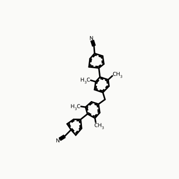 Cc1cc(Cc2cc(C)c(-c3ccc(C#N)cc3)c(C)c2)cc(C)c1-c1ccc(C#N)cc1